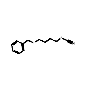 N#CSCCCCOCc1ccccc1